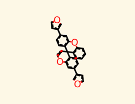 c1ccc2c(c1)Oc1cc(-c3ccoc3)ccc1C21c2ccccc2Oc2cc(-c3ccoc3)ccc21